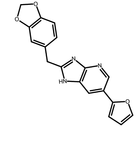 c1coc(-c2cnc3nc(Cc4ccc5c(c4)OCO5)[nH]c3c2)c1